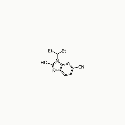 CCC(CC)n1c(O)nc2ccc(C#N)nc21